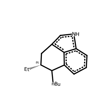 CCCCC1c2cccc3[nH]cc(c23)C[C@H]1CC